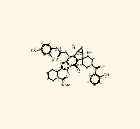 CNC(=O)N1CC=CCC1c1nc2n(CC(=O)Nc3ccc(C(F)(F)F)cc3Cl)c3c(c(=O)n2n1)C1(CCN(C(=O)c2ncccc2O)CC1)[C@@H]1C[C@H]31